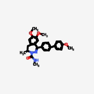 CNC(=O)N1N=C(c2ccc(-c3ccc(OC)cc3)cc2)c2cc(OC)c(OC)cc2CC1C